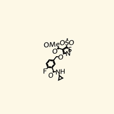 COC(=O)c1c(OCc2ccc(F)c(C(=O)NC3CC3)c2)nsc1S(C)(=O)=O